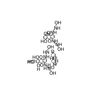 C[C@]12CC[C@H]3[C@@H](CCC4=CC(=O)CC[C@@H]43)[C@@H]1CC[C@@H]2O.Cl.Cl.O=C1c2c(O)ccc(O)c2C(=O)c2c(NCCNCCO)ccc(NCCNCCO)c21.O=C1c2c(O)ccc(O)c2C(=O)c2c(NCCNCCO)ccc(NCCNCCO)c21